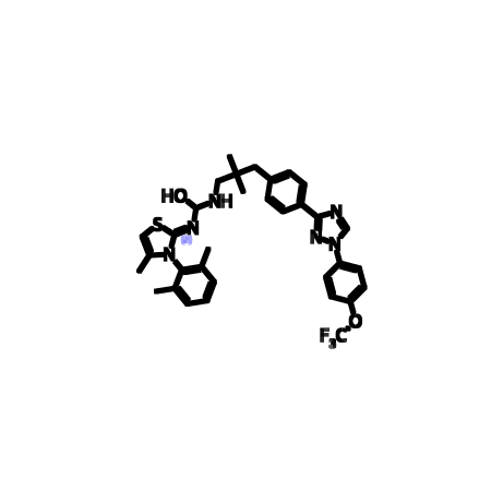 Cc1cccc(C)c1-n1c(C)cs/c1=N\C(O)NCC(C)(C)Cc1ccc(-c2ncn(-c3ccc(OC(F)(F)F)cc3)n2)cc1